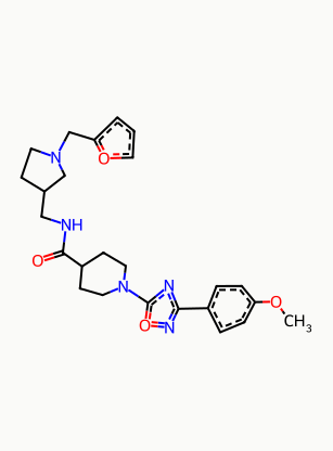 COc1ccc(-c2noc(N3CCC(C(=O)NCC4CCN(Cc5ccco5)C4)CC3)n2)cc1